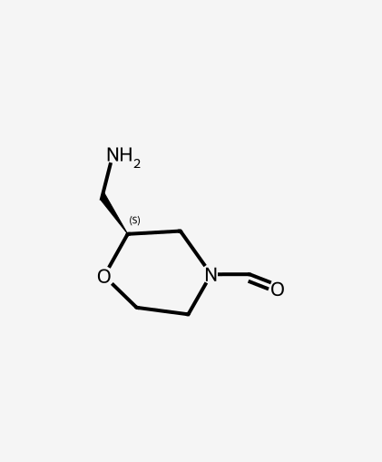 NC[C@H]1CN(C=O)CCO1